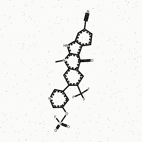 Cn1c2cc(-c3cncc(OS(=O)(=O)F)c3)c(C(F)(F)F)cc2c(=O)c2c3ccc(C#N)cc3[nH]c21